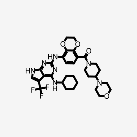 O=C(c1ccc(Nc2nc(NC3CCCCC3)c3c(C(F)(F)F)c[nH]c3n2)c2c1OCCO2)N1CCC(N2CCOCC2)CC1